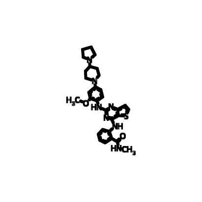 CNC(=O)c1ccccc1Nc1nc(Nc2ccc(N3CCC(N4CCCC4)CC3)cc2OC)nc2ccsc12